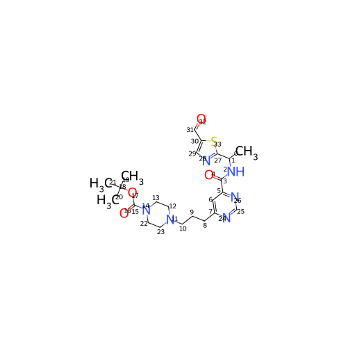 CC(NC(=O)c1cc(CCCN2CCN(C(=O)OC(C)(C)C)CC2)ncn1)c1ncc(C=O)s1